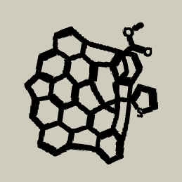 COC(=O)CCCC1(c2cccs2)C23C4=C5c6c7ccc8c6C21c1c-8ccc2c1C1=C3c3c4c4c6c8c(cc9c(c38)C1C2C=C9)CC6=CC1C=CC7C5C41